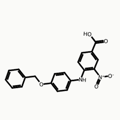 O=C(O)c1ccc(Nc2ccc(OCc3ccccc3)cc2)c([N+](=O)[O-])c1